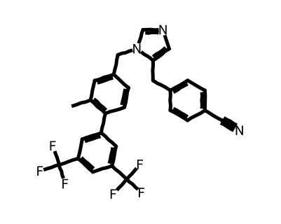 Cc1cc(Cn2cncc2Cc2ccc(C#N)cc2)ccc1-c1cc(C(F)(F)F)cc(C(F)(F)F)c1